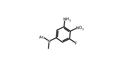 CC(=O)N(C)c1cc(N)c([N+](=O)[O-])c(F)c1